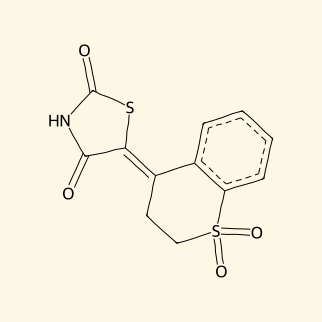 O=C1NC(=O)/C(=C2\CCS(=O)(=O)c3ccccc32)S1